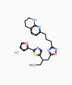 Cl.O=C(O)CC(Cc1nc(CCCc2ccc3c(n2)NCCC3)no1)c1cnc(-c2ccco2)s1